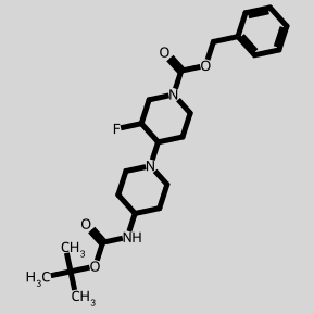 CC(C)(C)OC(=O)NC1CCN(C2CCN(C(=O)OCc3ccccc3)CC2F)CC1